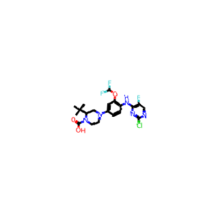 CC(C)(C)C1CN(c2ccc(Nc3nc(Cl)ncc3F)c(OC(F)F)c2)CCN1C(=O)O